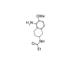 CCC(=O)NC1CCc2c(ccc(OC)c2N)C1